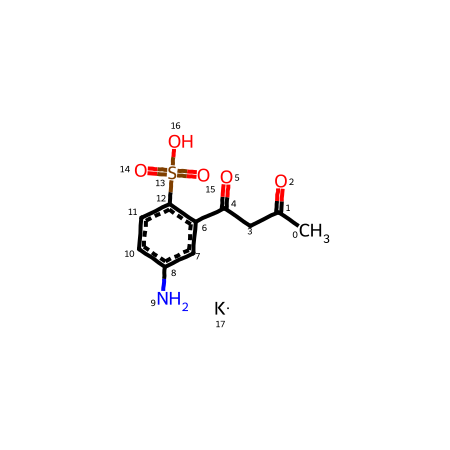 CC(=O)CC(=O)c1cc(N)ccc1S(=O)(=O)O.[K]